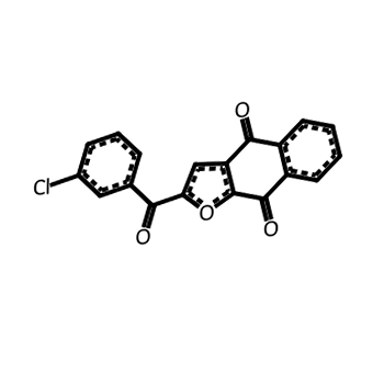 O=C(c1cccc(Cl)c1)c1cc2c(o1)C(=O)c1ccccc1C2=O